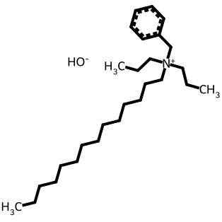 CCCCCCCCCCCCCC[N+](CCC)(CCC)Cc1ccccc1.[OH-]